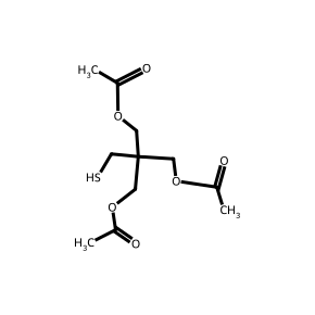 CC(=O)OCC(CS)(COC(C)=O)COC(C)=O